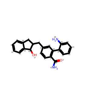 NC(=O)c1ccc(CC2Cc3ccccc3C2O)cc1-c1ccccc1N